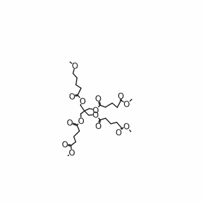 COCCCCC(=O)OCC(COC(=O)CCCC(=O)OC)(COC(=O)CCCC(=O)OC)COC(=O)CCCC(=O)OC